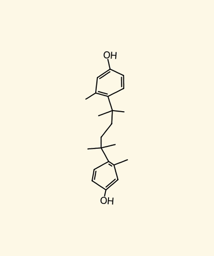 Cc1cc(O)ccc1C(C)(C)CCC(C)(C)c1ccc(O)cc1C